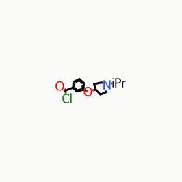 CC(C)N1CCC(Oc2cccc(C(=O)Cl)c2)CC1